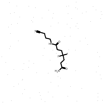 N#CCCCNC(=O)[CH]CC(F)(F)CCC(N)=O